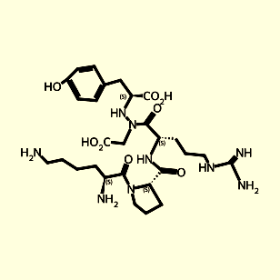 N=C(N)NCCC[C@H](NC(=O)[C@@H]1CCCN1C(=O)[C@@H](N)CCCCN)C(=O)N(CC(=O)O)N[C@@H](Cc1ccc(O)cc1)C(=O)O